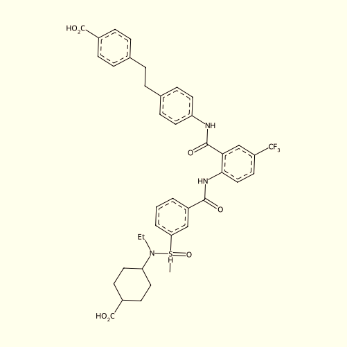 CCN(C1CCC(C(=O)O)CC1)[SH](C)(=O)c1cccc(C(=O)Nc2ccc(C(F)(F)F)cc2C(=O)Nc2ccc(CCc3ccc(C(=O)O)cc3)cc2)c1